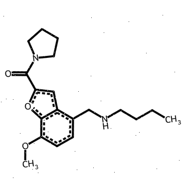 CCCCNCc1ccc(OC)c2oc(C(=O)N3CCCC3)cc12